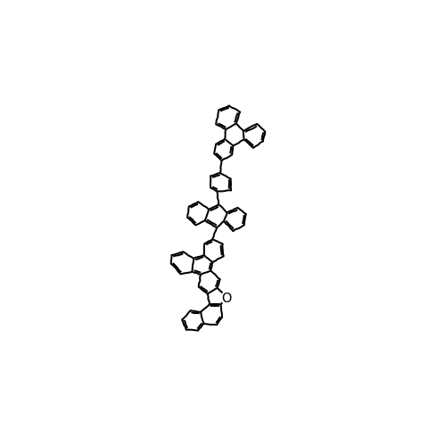 c1ccc2c(c1)ccc1oc3cc4c5ccc(-c6c7ccccc7c(-c7ccc(-c8ccc9c%10ccccc%10c%10ccccc%10c9c8)cc7)c7ccccc67)cc5c5ccccc5c4cc3c12